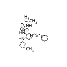 Cc1cccc(Nc2cc[n+](CSCc3ccccc3)cc2NS(=O)(=O)C(=O)NC(C)C)c1